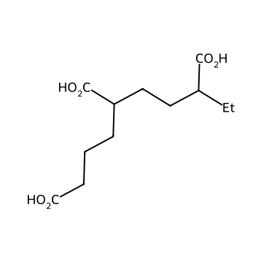 CCC(CCC(CCCC(=O)O)C(=O)O)C(=O)O